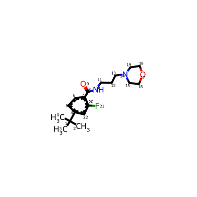 CC(C)(C)c1ccc(C(=O)NCCCN2CCOCC2)c(F)c1